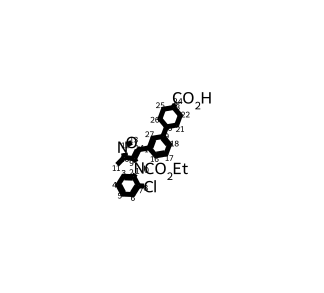 CCOC(=O)N(c1ccccc1Cl)c1c(C)noc1-c1cccc(C2CCC(C(=O)O)CC2)c1